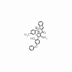 Cc1ccc(S(=O)(=O)n2c(C(=O)c3cnn(-c4ccc(Oc5ccccc5)cc4O)c3N)cc3ccccc32)cc1